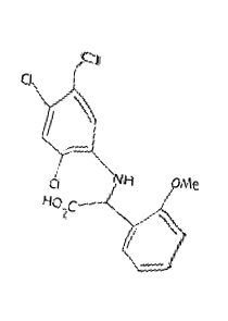 COc1ccccc1C(Nc1cc(Cl)c(Cl)cc1Cl)C(=O)O